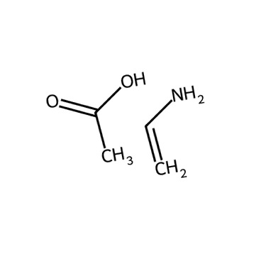 C=CN.CC(=O)O